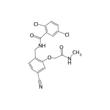 CNC(=O)COc1cc(C#N)ccc1CNC(=O)c1cc(Cl)ccc1Cl